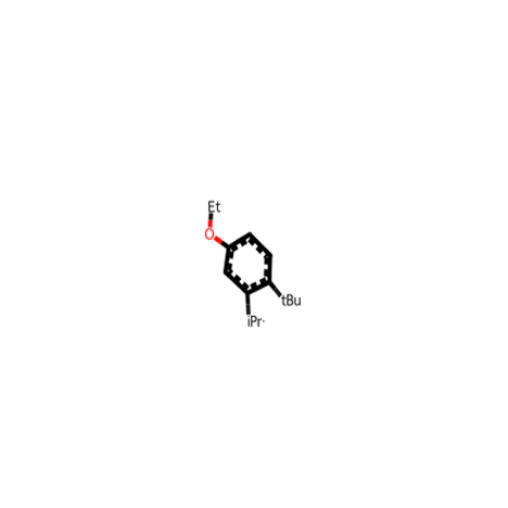 CCOc1ccc(C(C)(C)C)c([C](C)C)c1